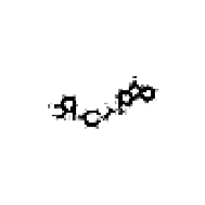 O=C(CN1CCC(Nc2cccc(Cl)c2CO)CC1)Nc1ccc2c(c1)-c1ccccc1C2=O